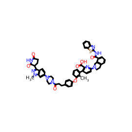 Cc1c(Oc2ccc(CCC(=O)N3CCN(c4ccc5c(C6CCC(=O)NC6=O)nn(C)c5c4)CC3)cc2)cccc1-c1ccc(N2CCc3cccc(C(=O)Nc4nc5ccccc5s4)c3C2)nc1C(=O)O